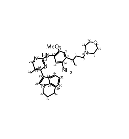 COc1cc(C(C)CCN2CCOCC2)c(N)cc1Nc1ncc(C)c(-c2cn3c4c(cccc24)CCC3)n1